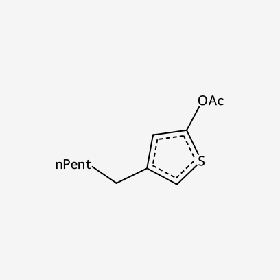 CCCCCCc1csc(OC(C)=O)c1